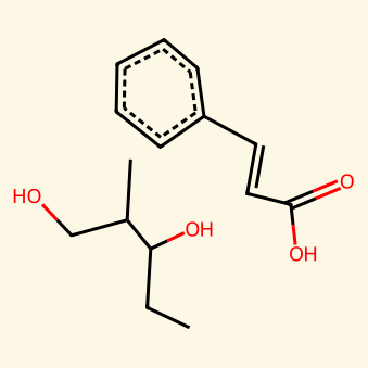 CCC(O)C(C)CO.O=C(O)C=Cc1ccccc1